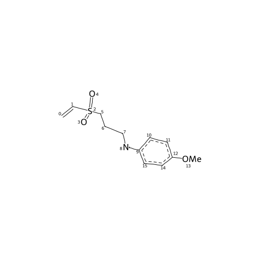 C=CS(=O)(=O)CCC[N]c1ccc(OC)cc1